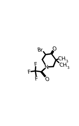 CC1(C)CN(C(=O)C(F)(F)F)CC(Br)C1=O